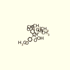 COc1ccc(-c2c(C(=O)O)n(CC(=O)N(C)C)c3cc(OC)c(OC)cc23)cc1